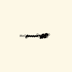 COC(=O)CCCCCCCCCCC(=O)OC(C)[C@H]1C(C)C[C@H]2[C@@H]3CC[C@H]4N(C)C(=O)CC[C@]4(C)[C@H]3CC[C@]12C